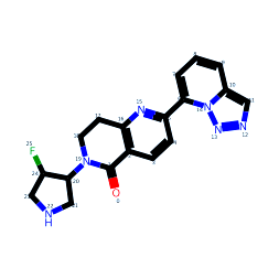 O=C1c2ccc(-c3cccc4cnnn34)nc2CCN1C1CNCC1F